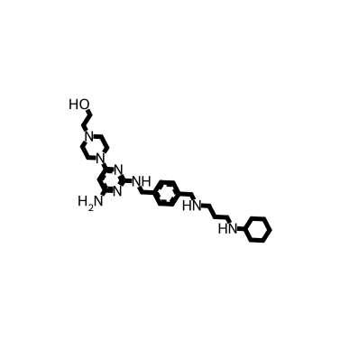 Nc1cc(N2CCN(CCO)CC2)nc(NCc2ccc(CNCCCNC3CCCCC3)cc2)n1